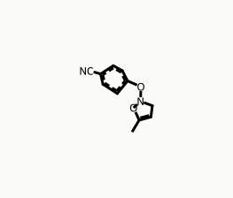 CC1=CCN(Oc2ccc(C#N)cc2)O1